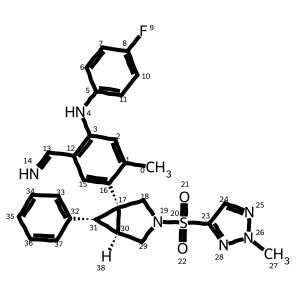 Cc1cc(Nc2ccc(F)cc2)c(C=N)cc1[C@]12CN(S(=O)(=O)c3cnn(C)n3)C[C@H]1[C@@H]2c1ccccc1